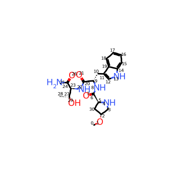 CO[C@H]1CN[C@H](C(=O)N[C@@H](Cc2c[nH]c3ccccc23)C(=O)N[C@H](C(N)=O)[C@@H](C)O)C1